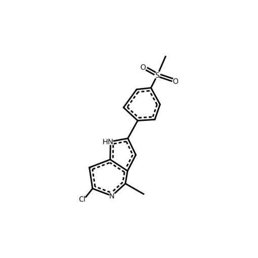 Cc1nc(Cl)cc2[nH]c(-c3ccc(S(C)(=O)=O)cc3)cc12